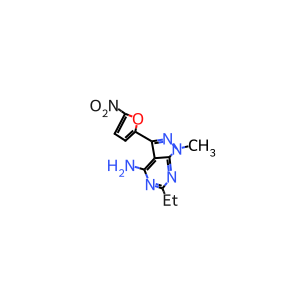 CCc1nc(N)c2c(-c3ccc([N+](=O)[O-])o3)nn(C)c2n1